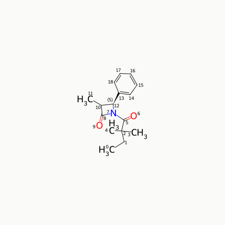 CCC(C)(C)C(=O)N1C(=O)C(C)[C@H]1c1ccccc1